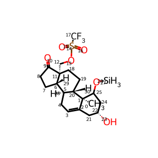 C[C@]12C(=CC[C@H]3[C@@H]4CCC(=O)[C@@]4(COS(=O)(=O)C(F)(F)F)CC[C@@H]31)C[C@@H](O)CC2O[SiH3]